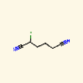 N#CCCCC(F)C#N